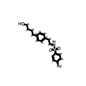 CC(=O)c1ccc(S(=O)(=O)NCCc2ccc(CCCCO)cc2)cc1